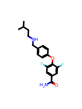 CC(C)CCNCc1ccc(Oc2c(F)cc(C(N)=O)cc2F)cc1